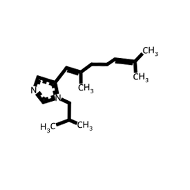 CC(C)=CCC/C(C)=C/c1cncn1CC(C)C